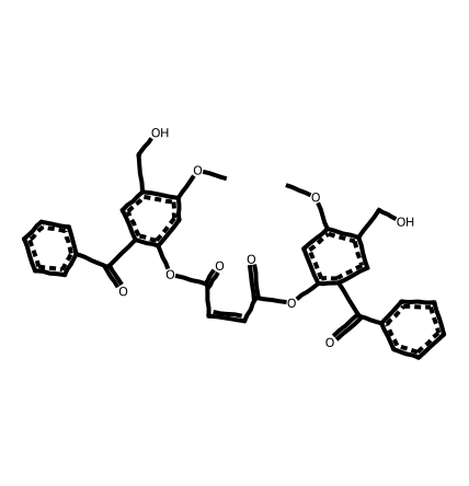 COc1cc(OC(=O)/C=C\C(=O)Oc2cc(OC)c(CO)cc2C(=O)c2ccccc2)c(C(=O)c2ccccc2)cc1CO